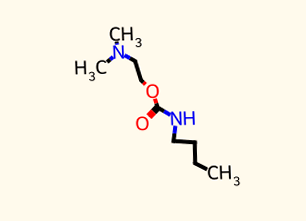 CCCCNC(=O)OCCN(C)C